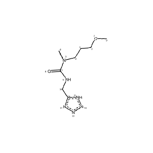 COCCCN(C)C(=O)NCc1nnn[nH]1